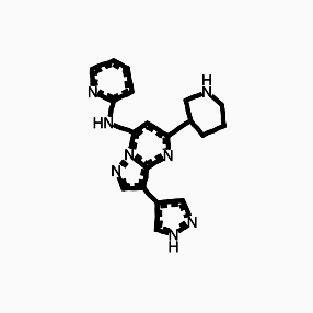 c1ccc(Nc2cc(C3CCCNC3)nc3c(-c4cn[nH]c4)cnn23)nc1